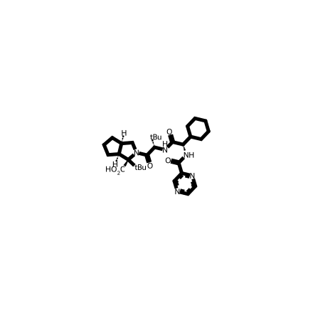 CC(C)(C)[C@H](NC(=O)[C@@H](NC(=O)c1cnccn1)C1CCCCC1)C(=O)N1C[C@@H]2CCC[C@@H]2[C@@]1(C(=O)O)C(C)(C)C